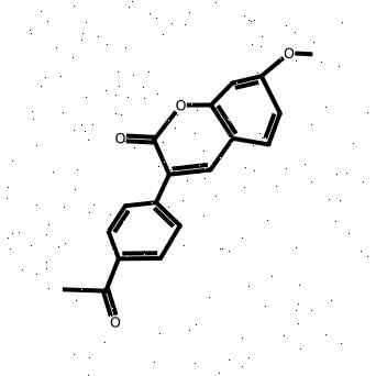 COc1ccc2cc(-c3ccc(C(C)=O)cc3)c(=O)oc2c1